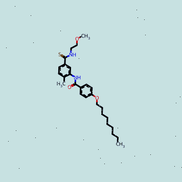 CCCCCCCCCOc1ccc(C(=O)Nc2cc(C(=S)NCCOC)ccc2C)cc1